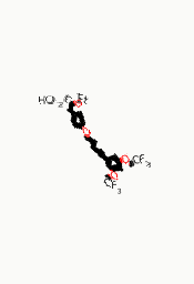 CCO[C@@H](Cc1ccc(OCC=CC#Cc2cc(OCC(F)(F)F)cc(OCC(F)(F)F)c2)cc1)C(=O)O